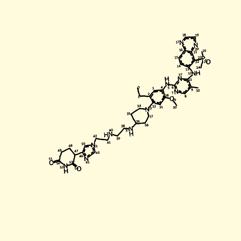 CCc1cc(Nc2ncc(C)c(Nc3ccc4nccnc4c3P(C)(C)=O)n2)c(OC)cc1N1CCC(NCCNCCn2cnc(C3CCC(=O)NC3=O)c2)CC1